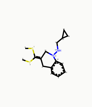 CSC(SC)=C1Cc2ccccc2N(NCC2CC2)C1